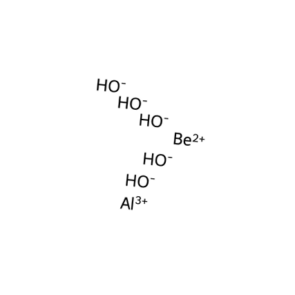 [Al+3].[Be+2].[OH-].[OH-].[OH-].[OH-].[OH-]